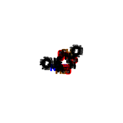 O=P1(S)OC[C@@H]2C[C@@H](OP(=O)(S)OC[C@H]3C[C@@H](NC4CCCCCCC4)C[C@@H]3O1)C(C1CCCCCCC1)O2